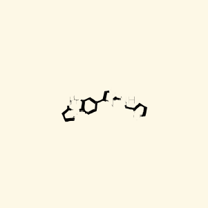 CC(C)C1=CC=C[SH]1c1ccc(-c2csc(NCc3ccco3)n2)cc1C(F)(F)F